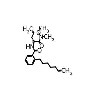 C=CCCCCCc1ccccc1C(=O)N[C@@H](CC=C)C(=O)N(C)OC